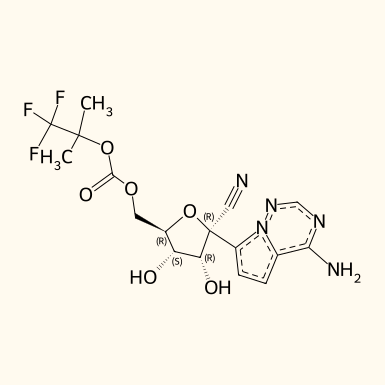 CC(C)(OC(=O)OC[C@H]1O[C@@](C#N)(c2ccc3c(N)ncnn23)[C@H](O)[C@@H]1O)C(F)(F)F